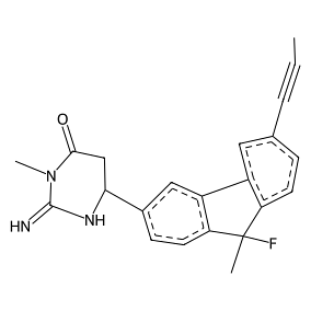 CC#Cc1ccc2c(c1)-c1cc(C3CC(=O)N(C)C(=N)N3)ccc1C2(C)F